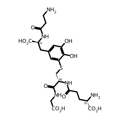 NCCC(=O)N[C@@H](Cc1cc(O)c(O)c(SC[C@H](NC(=O)CC[C@H](N)C(=O)O)C(=O)NCC(=O)O)c1)C(=O)O